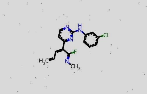 C=CC=C(C(F)=NC)c1ccnc(Nc2cccc(Cl)c2)n1